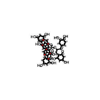 O=P(OC1Cc2c(O)cc(O)cc2OC1c1ccc(O)c(O)c1)(OC1Cc2c(O)cc(O)cc2OC1c1ccc(O)c(O)c1)OC1Cc2c(O)cc(O)cc2OC1c1ccc(O)c(O)c1